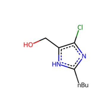 CCCCc1nc(Cl)c(CO)[nH]1